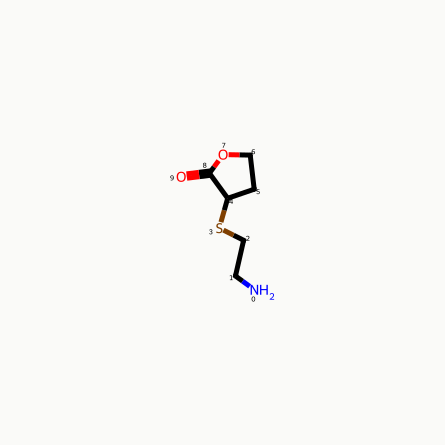 NCCSC1CCOC1=O